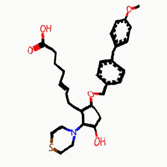 COc1ccc(-c2ccc(COC3CC(O)C(N4CCSCC4)C3CC=CCCCC(=O)O)cc2)cc1